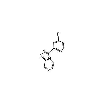 Fc1cccc(-c2nnc3cnccn23)c1